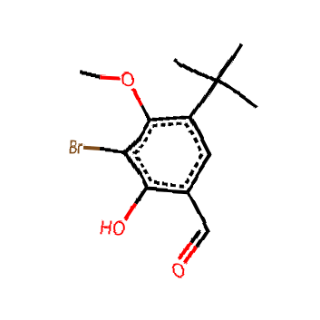 COc1c(C(C)(C)C)cc(C=O)c(O)c1Br